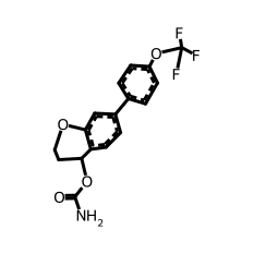 NC(=O)OC1CCOc2cc(-c3ccc(OC(F)(F)F)cc3)ccc21